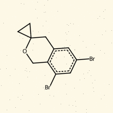 Brc1cc(Br)c2c(c1)CC1(CC1)OC2